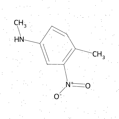 CNc1ccc(C)c([N+](=O)[O-])c1